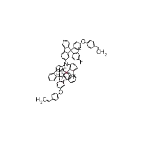 C=Cc1ccc(Oc2ccc(C3(c4ccc(F)cc4F)c4ccccc4-c4ccc(N(c5ccc6c(c5)C(c5ccc(Oc7ccc(C=C)cc7)cc5)(c5ccc(F)cc5F)c5ccccc5-6)c5cccc6c5C(C)(C)c5ccccc5-6)cc43)cc2)cc1